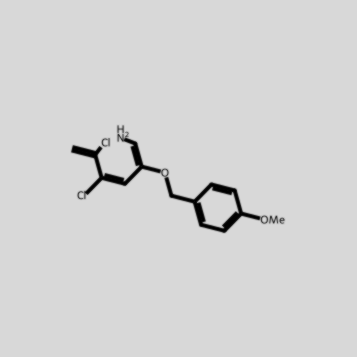 C=C(Cl)/C(Cl)=C\C(=C/N)OCc1ccc(OC)cc1